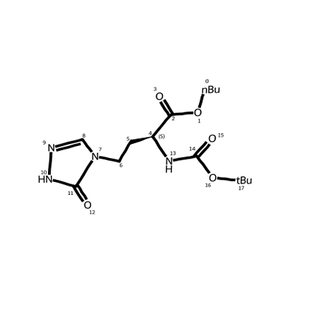 CCCCOC(=O)[C@H](CCn1cn[nH]c1=O)NC(=O)OC(C)(C)C